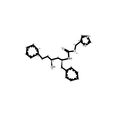 O=C(N[C@@H](Cc1ccccc1)C[C@@H](O)[CH]Cc1ccccc1)OCc1cncs1